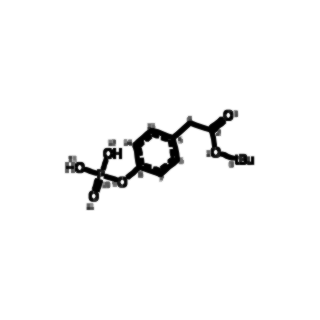 CC(C)(C)OC(=O)Cc1ccc(OP(=O)(O)O)cc1